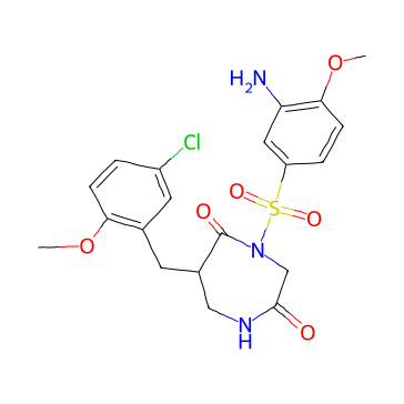 COc1ccc(S(=O)(=O)N2CC(=O)NCC(Cc3cc(Cl)ccc3OC)C2=O)cc1N